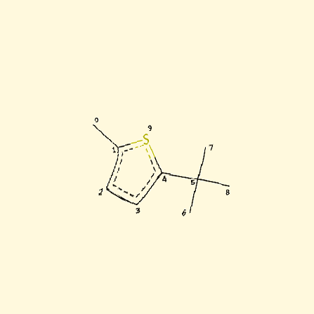 Cc1ccc(C(C)(C)C)s1